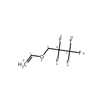 C=COCC(F)(F)C(F)(F)F